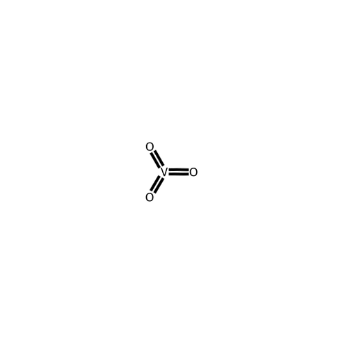 [O]=[V](=[O])=[O]